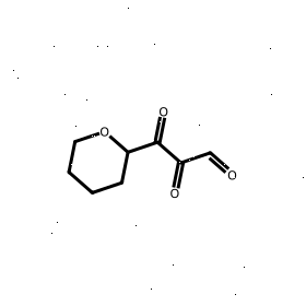 O=CC(=O)C(=O)C1CCCCO1